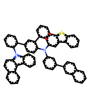 c1ccc(-c2cc(-c3ccccc3-n3c4ccccc4c4c5ccccc5ccc43)ccc2N(c2cccc(-c3ccc4ccccc4c3)c2)c2ccc3sc4ccccc4c3c2)cc1